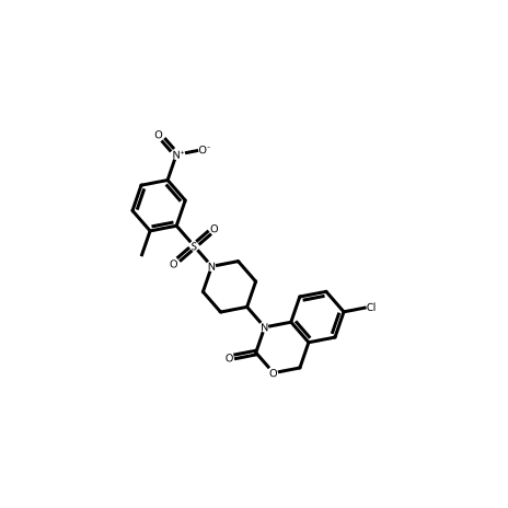 Cc1ccc([N+](=O)[O-])cc1S(=O)(=O)N1CCC(N2C(=O)OCc3cc(Cl)ccc32)CC1